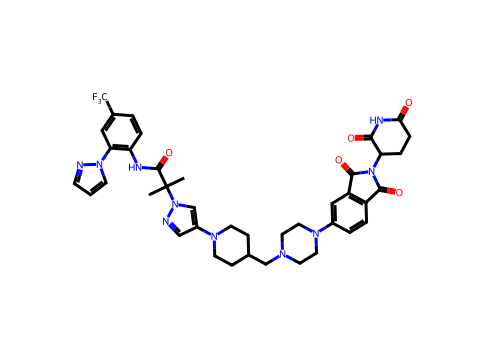 CC(C)(C(=O)Nc1ccc(C(F)(F)F)cc1-n1cccn1)n1cc(N2CCC(CN3CCN(c4ccc5c(c4)C(=O)N(C4CCC(=O)NC4=O)C5=O)CC3)CC2)cn1